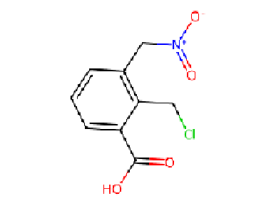 O=C(O)c1cccc(C[N+](=O)[O-])c1CCl